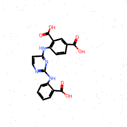 O=C(O)c1ccc(Nc2ccnc(Nc3ccccc3C(=O)O)n2)c(C(=O)O)c1